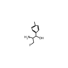 Cc1ccc(C(O)C(N)CF)cc1